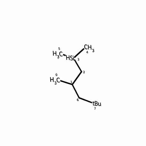 CC(C[SiH](C)C)CC(C)(C)C